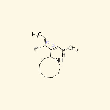 C/C=C(/C(=C/PC)C1CCCCCCCN1)C(C)C